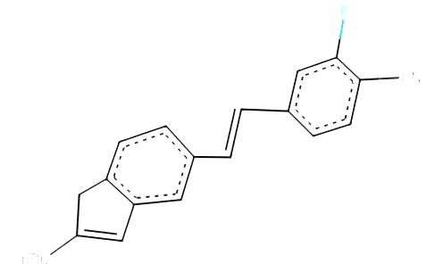 CCCCC1=Cc2cc(/C=C/c3ccc(C#N)c(F)c3)ccc2C1